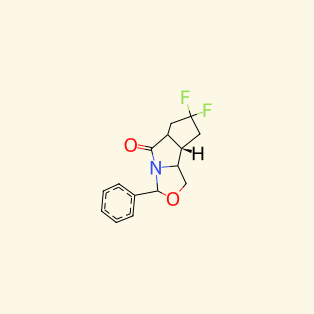 O=C1C2CC(F)(F)C[C@@H]2C2COC(c3ccccc3)N12